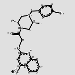 C[C@@H]1CN(Cc2ccc(F)cc2)[C@@H](C)CN1C(=O)COc1cc(C(=O)O)c2ccccc2n1